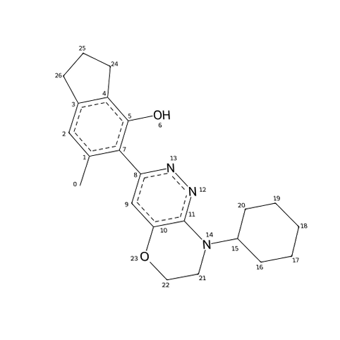 Cc1cc2c(c(O)c1-c1cc3c(nn1)N(C1CCCCC1)CCO3)CCC2